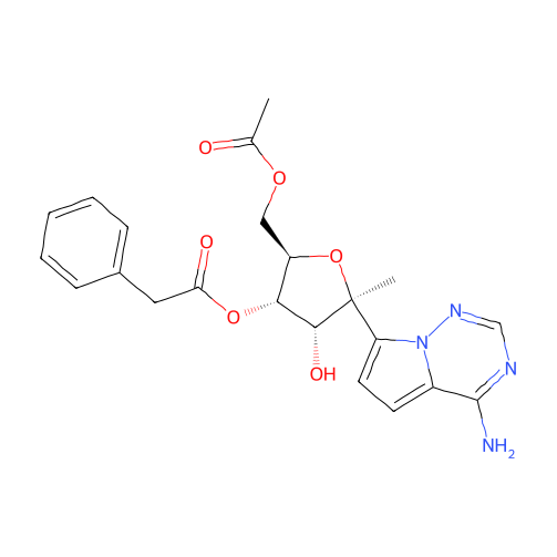 CC(=O)OC[C@H]1O[C@@](C)(c2ccc3c(N)ncnn23)[C@H](O)[C@@H]1OC(=O)Cc1ccccc1